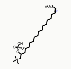 CCCCCCCC/C=C\CCCCCCCCCCCCCCC(C[N+](C)(C)C)OP(=O)([O-])O